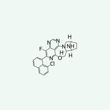 Fc1c(-c2cccc3cccc(Cl)c23)nc2c3c(ncnc13)N1C[C@H]3CC[C@H](N3)[C@H]1CO2